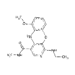 CCNc1ncc(C(=O)NC)c2c1Oc1cccc(OC)c1N2